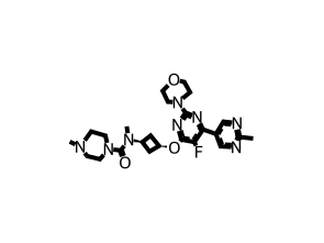 Cc1ncc(-c2nc(N3CCOCC3)nc(O[C@H]3C[C@H](N(C)C(=O)N4CCN(C)CC4)C3)c2F)cn1